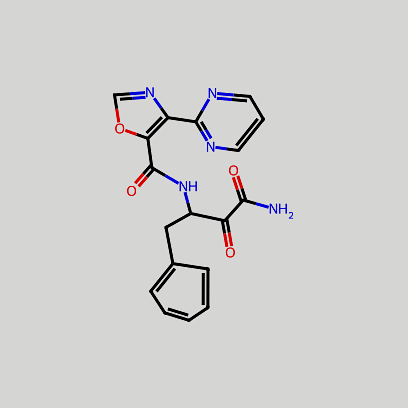 NC(=O)C(=O)C(Cc1ccccc1)NC(=O)c1ocnc1-c1ncccn1